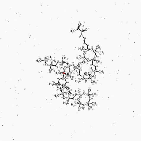 C=C(C)C(=O)OCCC[Si]1(C)O[Si](C)(C)O[Si](C)(CC[Si](C)(C)O[Si](C)(C)O[Si](C)(C)CC[Si](C)(C)O[Si](O[Si](C)(C)CC[Si](C)(C)C)(O[Si](C)(C)CC[Si](C)(C)O[SiH](C)C)O[Si](C)(C)CC[Si](C)(C)O[Si](C)(C)O[Si](C)(C)CC[Si]2(C)O[Si](C)(C)O[Si](C)(C)O[Si](C)(CC)O2)O[Si](C)(C)O1